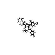 CC1CCCC(C)N1NC(=O)c1nn(-c2ccc(Cl)cc2Cl)c2c1CS(=O)(=O)C/C2=C\c1ccc(F)cc1